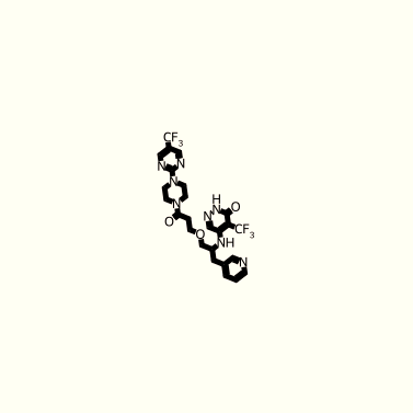 O=C(CCOCC(Cc1cccnc1)Nc1cn[nH]c(=O)c1C(F)(F)F)N1CCN(c2ncc(C(F)(F)F)cn2)CC1